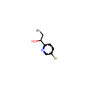 CC(C)CC(O)c1ccc(Br)cn1